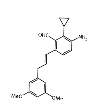 COc1cc(C/C=C/c2ccc(N)c(C3CC3)c2C=O)cc(OC)c1